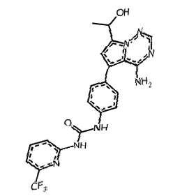 CC(O)c1cc(-c2ccc(NC(=O)Nc3cccc(C(F)(F)F)n3)cc2)c2c(N)ncnn12